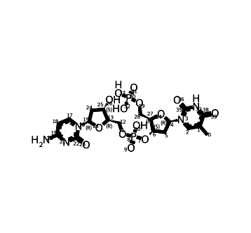 Cc1cn([C@H]2C[C@H](OP(=O)(O)OC[C@H]3O[C@@H](n4ccc(N)nc4=O)C[C@@H]3O)[C@@H](COP(=O)(O)O)O2)c(=O)[nH]c1=O